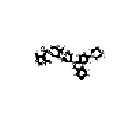 Cc1ncnc(C)c1C(=O)N1CCC(C)(N2CCC(N(Cc3ccccc3)c3ccc(N4CCOCC4)cc3)CC2)CC1